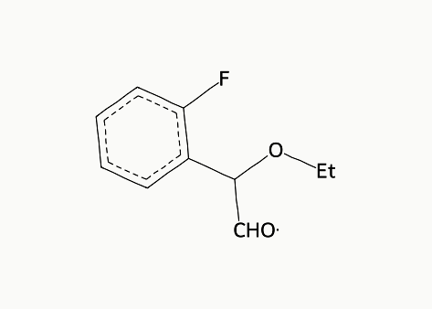 CCOC([C]=O)c1ccccc1F